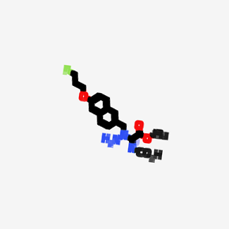 CC(C)(C)OC(=O)/C(=N\C(=O)O)N(N)Cc1ccc2cc(OCCCF)ccc2c1